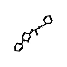 O=C(N=c1ccn(-c2ccccc2)nc1)OCc1ccccc1